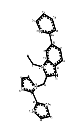 CCn1c(Cn2ccnc2-c2nccs2)nc2ccc(-c3ccccn3)cc21